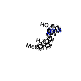 COc1ccc(-c2cccc(-c3ccc4c(c3)CN(C)[C@@H]4CNc3cnccc3C(=O)O)c2C)cc1